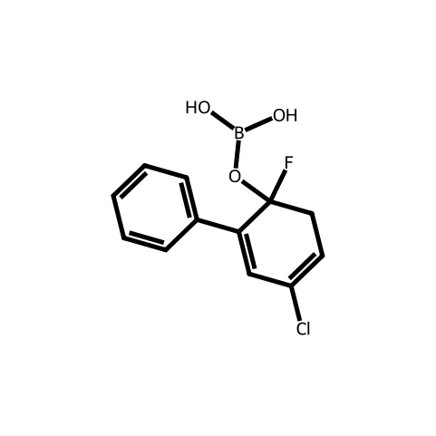 OB(O)OC1(F)CC=C(Cl)C=C1c1ccccc1